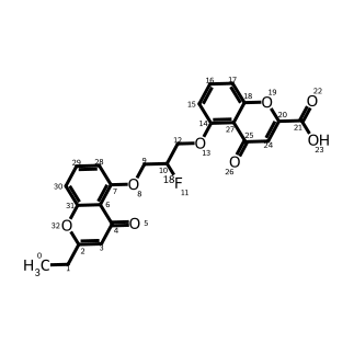 CCc1cc(=O)c2c(OCC([18F])COc3cccc4oc(C(=O)O)cc(=O)c34)cccc2o1